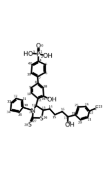 O=P(O)(O)c1ccc(-c2ccc(C3C(CCCC(O)c4ccc(F)cc4)SC(=S)N3c3ccccc3)c(O)c2)cc1